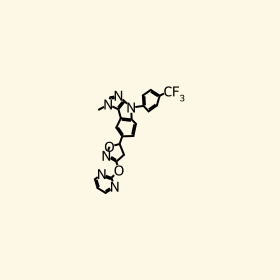 Cn1cnc2c1c1cc(C3CC(Oc4ncccn4)=NO3)ccc1n2-c1ccc(C(F)(F)F)cc1